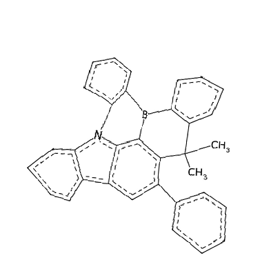 CC1(C)c2ccccc2B2c3ccccc3-n3c4ccccc4c4cc(-c5ccccc5)c1c2c43